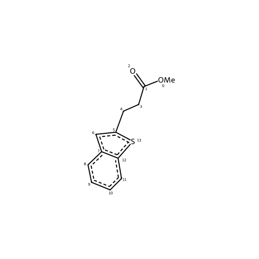 COC(=O)CCc1cc2ccccc2s1